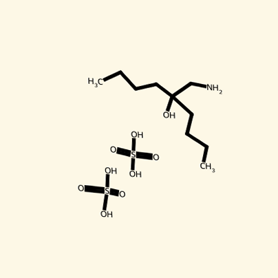 CCCCC(O)(CN)CCCC.O=S(=O)(O)O.O=S(=O)(O)O